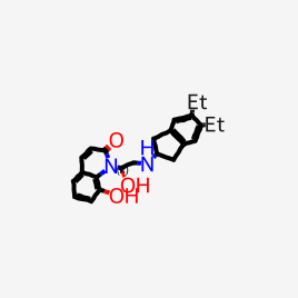 CCc1cc2c(cc1CC)CC(NC[C@@H](O)n1c(=O)ccc3cccc(O)c31)C2